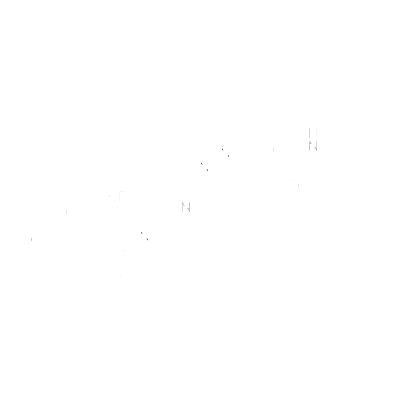 Cc1cc(C(=O)N2CCN(c3ccc(OC(=O)NCCC4CC4)nn3)CC2)c(C(F)(F)F)o1